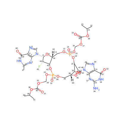 Cc1nc2c(ncn2[C@@H]2O[C@@H]3COP(=O)(OCOC(=O)OC(C)C)OC4[C@@H](O)[C@@H](COP(=O)(OCOC(=O)OC(C)C)OC3[C@@H]2F)O[C@H]4n2cnc3c(=O)[nH]c(N)nc32)c(=O)[nH]1